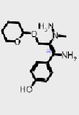 CN(N)/C(COC1CCCCO1)=C(\N)c1ccc(O)cc1